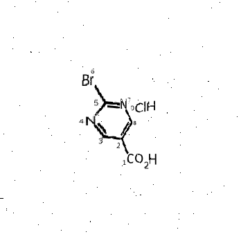 Cl.O=C(O)c1cnc(Br)nc1